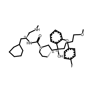 CNC[C@H](CC1CCCCC1)NC(=O)N1CCC[C@@H]([C@@](O)(CCCCOC)c2ccccc2Oc2ccc(F)cc2)C1